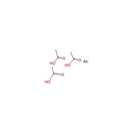 CC(=O)O.CC(=O)O.CC(=O)O.[As]